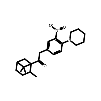 CC1CCC2CC1(C(=O)Cc1ccc(N3CCCCC3)c([N+](=O)[O-])c1)C2(C)C